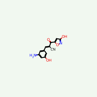 N#C/C(=C\c1cc(N)cc(O)c1)C(=O)c1cc(O)no1